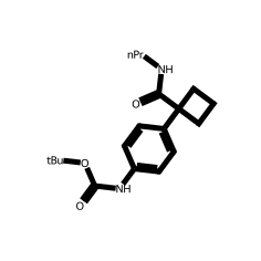 CCCNC(=O)C1(c2ccc(NC(=O)OC(C)(C)C)cc2)CCC1